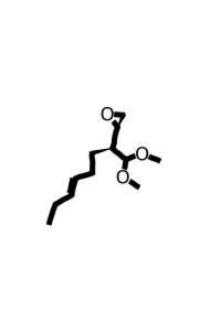 CCC=CCC[C@H](C(OC)OC)[C@@H]1CO1